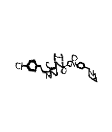 O=C(Nc1nnc(CCc2ccc(Cl)cc2)s1)[C@H]1CC(=O)N(c2ccc(CN3CC4CC4C3)cc2)C1